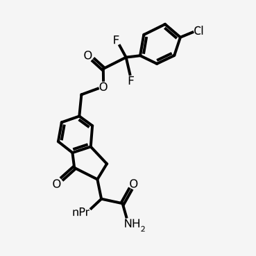 CCCC(C(N)=O)C1Cc2cc(COC(=O)C(F)(F)c3ccc(Cl)cc3)ccc2C1=O